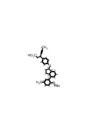 CC#CC(CC(=O)O)c1ccc(OC2CCc3c(-c4cc(C)ccc4OCCCC)cccc32)cc1